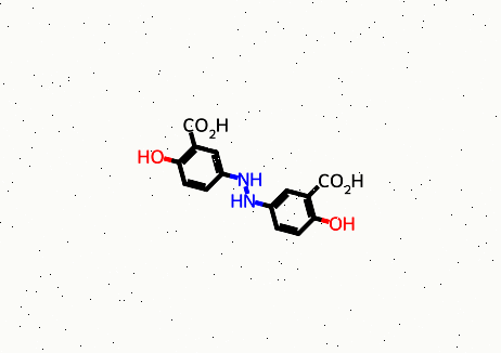 O=C(O)c1cc(NNc2ccc(O)c(C(=O)O)c2)ccc1O